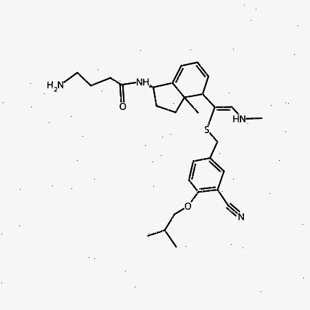 CN/C=C(\SCc1ccc(OCC(C)C)c(C#N)c1)C1C=CC=C2[C@H](NC(=O)CCCN)CCC21C